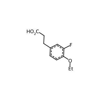 CCOc1ccc(CCC(=O)O)cc1F